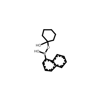 OB(OC1(O)CCCCC1)c1cccc2ccccc12